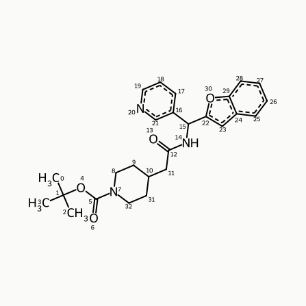 CC(C)(C)OC(=O)N1CCC(CC(=O)NC(c2cccnc2)c2cc3ccccc3o2)CC1